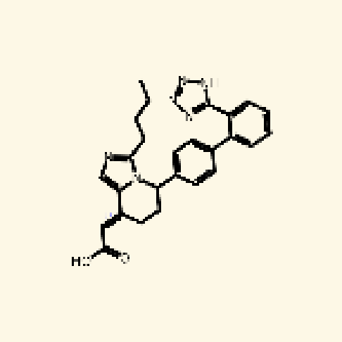 CCCCc1ncc2n1C(c1ccc(-c3ccccc3-c3nnn[nH]3)cc1)CC/C2=C\C(=O)O